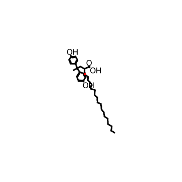 CCCCCCCCCCCCCCCCCCC(CC(C)(c1ccc(O)cc1)c1ccc(O)cc1)C(=O)O